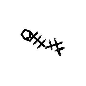 O=S(=O)(F)C(F)(F)C(F)(F)OC(F)(F)C(F)(F)C1(I)CC2CCC1C2